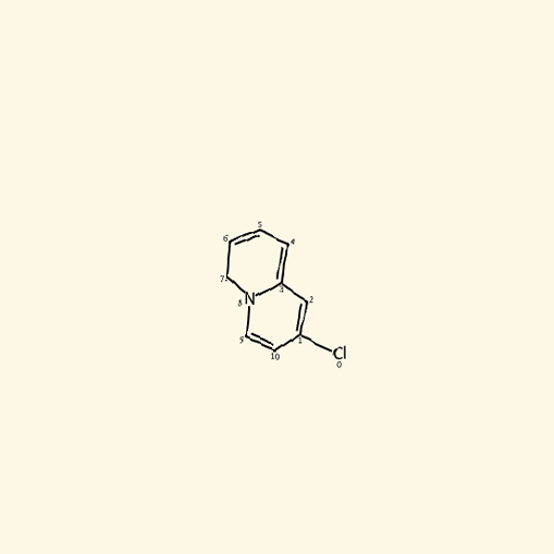 ClC1=CC2=CC=C[CH]N2C=C1